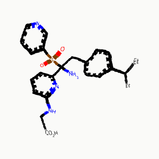 CCC(CC)c1ccc(CC(N)(c2cccc(NCC(=O)O)n2)S(=O)(=O)c2cccnc2)cc1